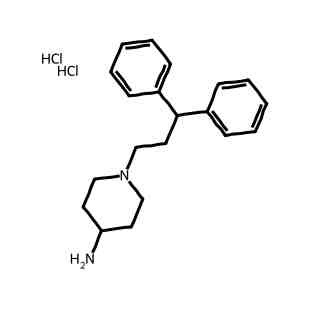 Cl.Cl.NC1CCN(CCC(c2ccccc2)c2ccccc2)CC1